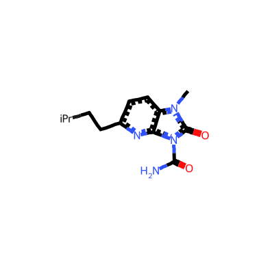 CC(C)CCc1ccc2c(n1)n(C(N)=O)c(=O)n2C